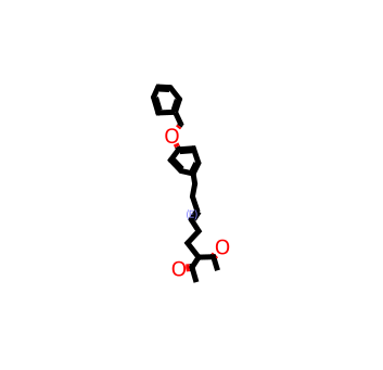 CC(=O)C(CC/C=C/CCc1ccc(OCc2ccccc2)cc1)C(C)=O